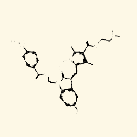 CCN(CC)CCNC(=O)c1c(C)[nH]c(/C=C2\C(=O)N(COC(=O)c3ccc(OC)cc3)c3ccc(F)cc32)c1C